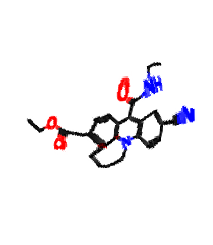 CCNC(=O)C(c1ccc(C(=O)OCC)cc1)c1cc(C#N)ccc1N1CCCCC1